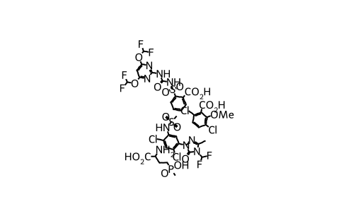 COc1c(Cl)ccc(Cl)c1C(=O)O.CP(=O)(O)CCC(N)C(=O)O.Cc1nn(-c2cc(NS(C)(=O)=O)c(Cl)cc2Cl)c(=O)n1C(F)F.O=C(Nc1nc(OC(F)F)cc(OC(F)F)n1)NS(=O)(=O)c1ccccc1C(=O)O